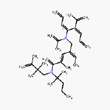 C=C/C=C(C(=C)C)\C(=C/C=C)N(CC(=C/C)/C=C(\C)C(=C)N(CC(C)(C)C(=C)C)C(C)(C)CCC)C(=C)C